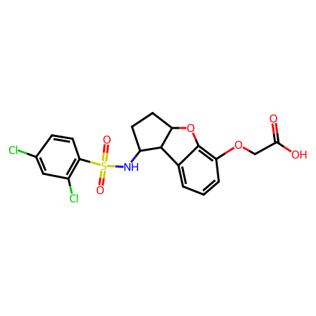 O=C(O)COc1cccc2c1OC1CCC(NS(=O)(=O)c3ccc(Cl)cc3Cl)C21